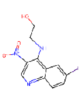 O=[N+]([O-])c1cnc2ccc(I)cc2c1NCCO